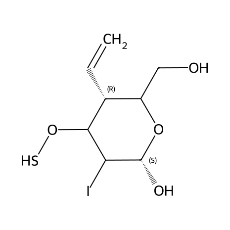 C=C[C@@H]1C(CO)O[C@H](O)C(I)C1OS